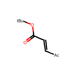 CC(=O)/C=C/C(=O)OC(C)(C)C